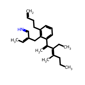 C=CCCc1cccc(C(=C)/C(CC)=C(\C)CCC)c1C/C(C=N)=C/C